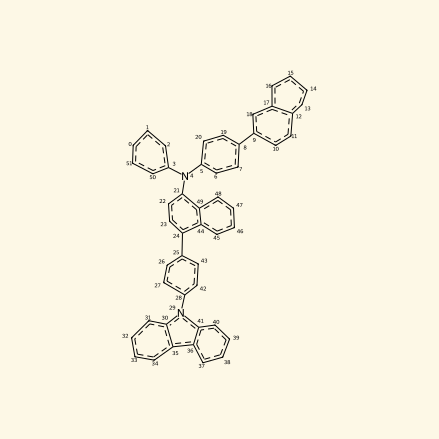 c1ccc(N(c2ccc(-c3ccc4ccccc4c3)cc2)c2ccc(-c3ccc(-n4c5ccccc5c5ccccc54)cc3)c3ccccc23)cc1